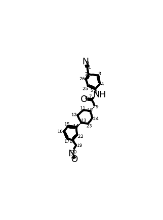 N#Cc1ccc(NC(=O)C[C@H]2CC[C@H](c3cccc(CN=O)c3)CC2)cc1